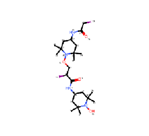 CC1(C)CC(NC(=O)C(I)CON2C(C)(C)CC(NC(=O)CI)CC2(C)C)CC(C)(C)N1O